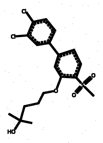 CC(C)(O)CCCOc1cc(-c2ccc(Cl)c(Cl)c2)ccc1S(C)(=O)=O